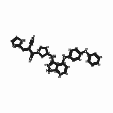 N#CC(=Cc1ncc[nH]1)C(=O)N1CCC(Nc2n[nH]c3nccc(Oc4ccc(Oc5ccccc5)cc4)c23)C1